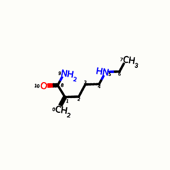 C=C(CCCNCC)C(N)=O